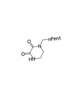 CCCCCCN1CCNC(=O)C1=O